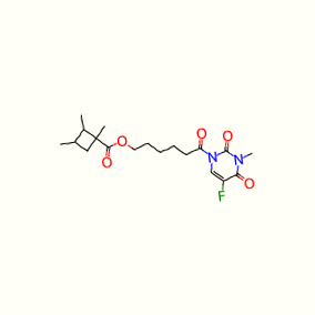 CC1CC(C)(C(=O)OCCCCCC(=O)n2cc(F)c(=O)n(C)c2=O)C1C